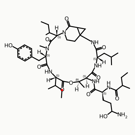 CCC(C)C(=O)N[C@@H](CCC(N)O)C(=O)N[C@@H]1C(=O)N[C@@H](CC(C)C)C(=O)NC23CCN(C(=O)C2C3)[C@@H](C(C)CC)C(=O)N(C)[C@@H](Cc2ccc(O)cc2)C(=O)N[C@@H](C(C)CC)C(=O)O[C@@H]1C